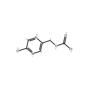 CCC(=O)OCc1cnc(Cl)cn1